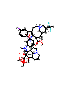 CC[C@]12C=CCN3CC[C@@]4(C5=CC([C@@]6(C(=O)OC)C[C@H]7CC(C(C)(F)F)CN(CCc8c6[nH]c6ccc(I)cc86)C7)C(OC)C=C5N(C)[C@H]4[C@@](O)(C(=O)OC)[C@@H]1OC(C)=O)[C@@H]32